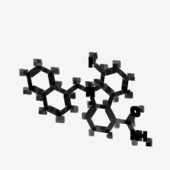 NC(=O)c1cccc2c1c1[c]ccc(F)c1n2Cc1cccc2ccccc12